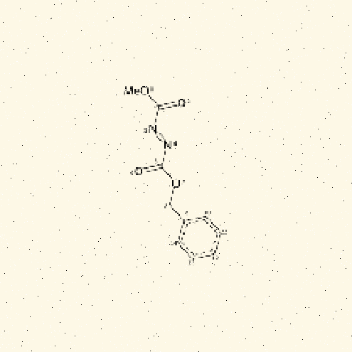 COC(=O)N=NC(=O)OCc1ccccc1